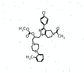 COC(=O)OC(CN1CCN(c2ccccc2C)CC1)Cn1nc(-c2ccc(Cl)cc2)c2c1CCN(C(C)=O)C2